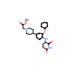 CC(C)(C)OC(=O)CN1CCC(c2ccc(NC3CCC(=O)NC3=O)c(Oc3ccccc3)c2)CC1